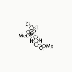 COC(=O)c1cnc2c3ccc(C(=O)Oc4c(Cl)cc(Cl)cc4Cl)c4c(C(=O)OC)cnc(c5cccc1c52)c43